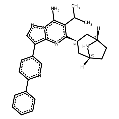 CC(C)c1c([C@@H]2C[C@H]3CC[C@@H](C2)N3)nc2c(-c3ccc(-c4ccccc4)nc3)cnn2c1N